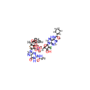 CC(C)C(=O)Nc1nc2c(ncn2[C@@H]2S[C@H](CO)[C@@H](O[Si](C)(C)C(C)(C)C)[C@H]2OP(=O)(O)OC[C@H]2O[C@@H](n3cnc4c(NC(=O)c5ccccc5)ncnc43)[C@@H](F)[C@@H]2O)c(=O)[nH]1